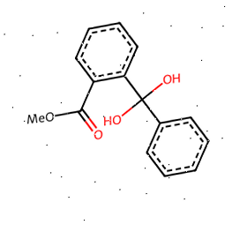 COC(=O)c1ccccc1C(O)(O)c1ccccc1